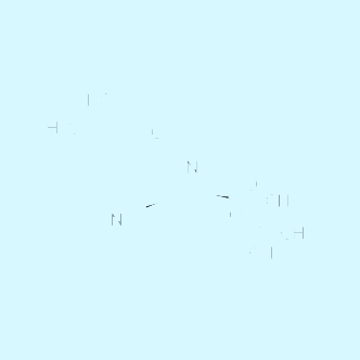 CCC(CC)CC(=O)[C@H]1[C@H](C#N)C[C@H](C(=O)OC(C)(C)C)N1Cc1ccccc1